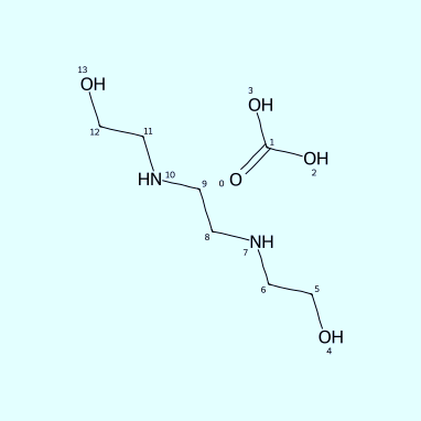 O=C(O)O.OCCNCCNCCO